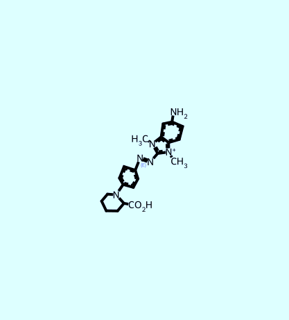 Cn1c(/N=N/c2ccc(N3CCCCC3C(=O)O)cc2)[n+](C)c2ccc(N)cc21